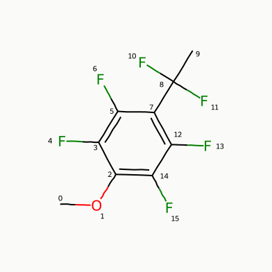 COc1c(F)c(F)c(C(C)(F)F)c(F)c1F